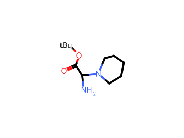 CC(C)(C)OC(=O)C(N)N1CCCCC1